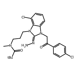 CN(CCCn1c(=NN)n(CC(=O)c2ccc(Cl)cc2)c2cccc(Cl)c21)C(=O)C(C)(C)C